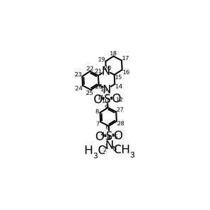 CN(C)S(=O)(=O)c1ccc(S(=O)(=O)N2CC3CCCCN3c3ccccc32)cc1